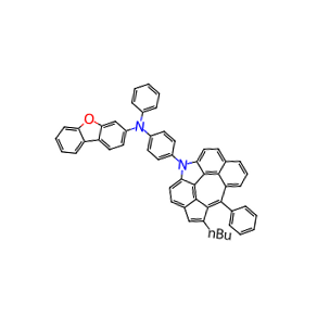 CCCCc1cc2ccc3c4c2-c1c(-c1ccccc1)c1cccc2ccc(c4c21)n3-c1ccc(N(c2ccccc2)c2ccc3c(c2)oc2ccccc23)cc1